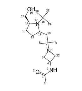 CC(=O)NC1CN(C(C)(C)CC2CC[C@@H](CO)N2C(C)(C)C)C1